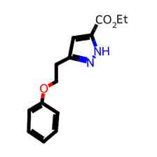 CCOC(=O)c1cc(CCOc2ccccc2)n[nH]1